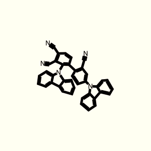 N#Cc1cc(-n2c3ccccc3c3ccccc32)ccc1-c1ccc(C#N)c(C#N)c1-n1c2ccccc2c2ccccc21